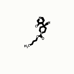 CCCCOC(=O)N1CCC(C#N)(c2ccncc2Cl)CC1